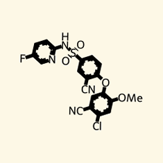 COc1cc(Cl)c(C#N)cc1Oc1ccc(S(=O)(=O)Nc2ccc(F)cn2)cc1C#N